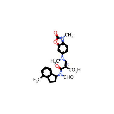 CN(/C=C(/C(=O)O)C(=O)N(C=O)C1CCc2c1cccc2C(F)(F)F)c1ccc2c(c1)oc(=O)n2C